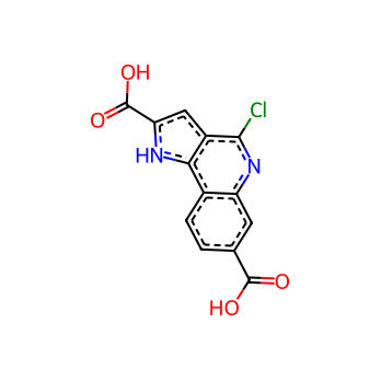 O=C(O)c1ccc2c(c1)nc(Cl)c1cc(C(=O)O)[nH]c12